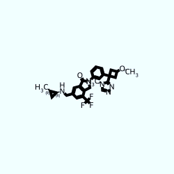 COC1CC(c2cccc(N3Cc4c(cc(CN[C@@H]5C[C@H]5C)cc4C(F)(F)F)C3=O)c2)(c2nncn2C)C1